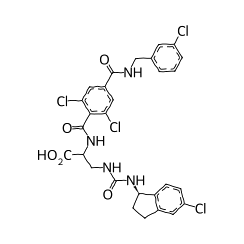 O=C(NCC(NC(=O)c1c(Cl)cc(C(=O)NCc2cccc(Cl)c2)cc1Cl)C(=O)O)N[C@@H]1CCc2cc(Cl)ccc21